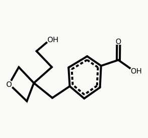 O=C(O)c1ccc(CC2(CCO)COC2)cc1